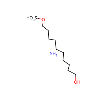 N.O=S(=O)(O)OCCCCCCCCCCO